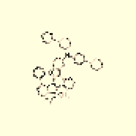 CC1(C)c2cccc(-c3ccccc3)c2-c2c1c1ccccc1c1c2oc2ccc(N(c3ccc(-c4ccccc4)cc3)c3cccc(-c4ccccc4)c3)cc21